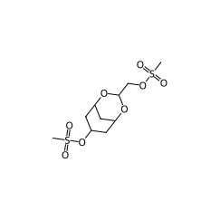 CS(=O)(=O)OCC1OC2CC(CC(OS(C)(=O)=O)C2)O1